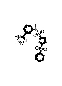 O=S(=O)(Nc1cccc(-c2nnn[nH]2)c1)c1ccc(S(=O)(=O)c2ccccc2)s1